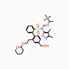 Cc1noc(N(COC(C)[Si](C)(C)C)S(=O)(=O)c2ccccc2-c2ccc(CO)cc2CCOC2CCCCO2)c1C